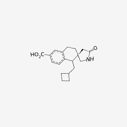 O=C1C[C@@]2(CCc3cc(C(=O)O)ccc3C2CC2CCC2)CN1